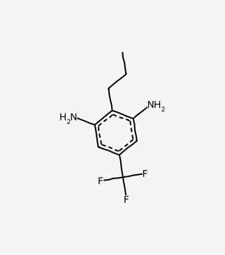 CCCc1c(N)cc(C(F)(F)F)cc1N